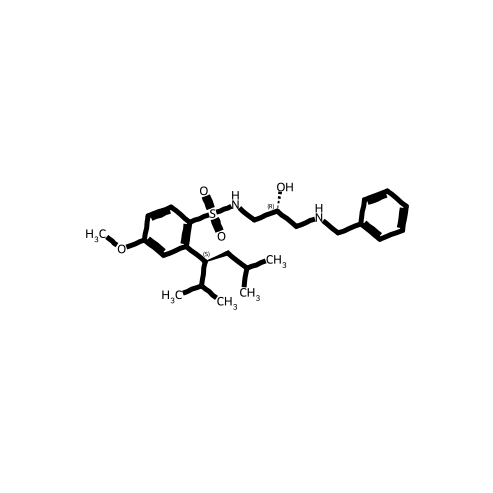 COc1ccc(S(=O)(=O)NC[C@H](O)CNCc2ccccc2)c([C@@H](CC(C)C)C(C)C)c1